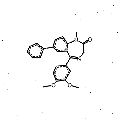 COc1ccc(C2=NCC(=O)N(C)c3ccc(-c4ccccc4)cc32)cc1OC